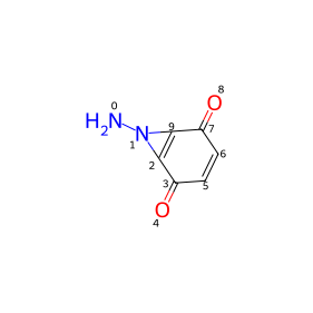 Nn1c2c(=O)ccc(=O)c1=2